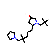 CC(C)(C)CN1CC(O)CC1CCCC(C)(C)CN1CCCC1